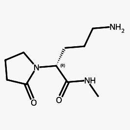 CNC(=O)[C@@H](CCCN)N1CCCC1=O